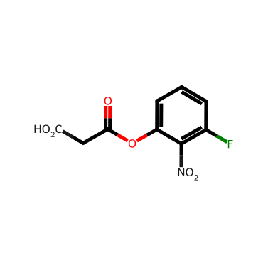 O=C(O)CC(=O)Oc1cccc(F)c1[N+](=O)[O-]